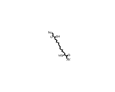 CC(=O)CC(=O)C(S)CCCCCCCCCCC(S)C(=O)CC(C)=O